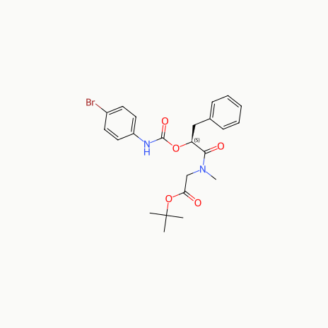 CN(CC(=O)OC(C)(C)C)C(=O)[C@H](Cc1ccccc1)OC(=O)Nc1ccc(Br)cc1